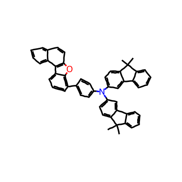 CC1(C)c2ccccc2-c2cc(N(c3ccc(-c4cccc5c4oc4ccc6ccccc6c45)cc3)c3ccc4c(c3)-c3ccccc3C4(C)C)ccc21